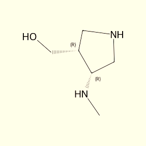 CN[C@H]1CNC[C@H]1CO